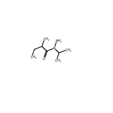 CCC(C)C(=O)N(N)C(C)C